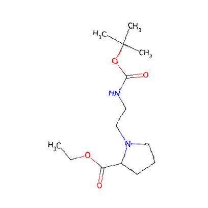 CCOC(=O)C1CCCN1CCNC(=O)OC(C)(C)C